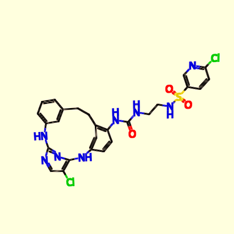 O=C(NCCNS(=O)(=O)c1ccc(Cl)nc1)Nc1ccc2cc1CCc1cccc(c1)Nc1ncc(Cl)c(n1)N2